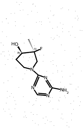 C[C@]1(F)CN(c2ncnc(N)n2)CC[C@H]1O